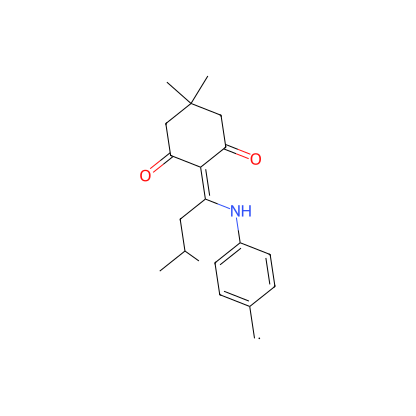 [CH2]c1ccc(NC(CC(C)C)=C2C(=O)CC(C)(C)CC2=O)cc1